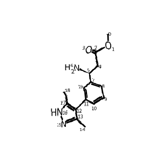 COC(=O)C[C@H](N)c1cccc(-c2c(C)n[nH]c2C)c1